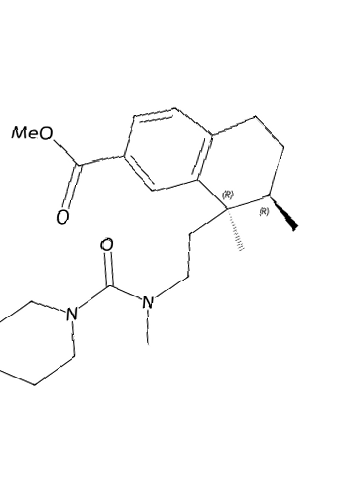 COC(=O)c1ccc2c(c1)[C@](C)(CCN(C)C(=O)N1CCCCC1)[C@H](C)CC2